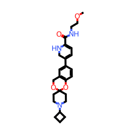 COCCNC(=O)C1=CC=C(c2ccc3c(c2)COC2(CCN(C4CCC4)CC2)O3)CN1